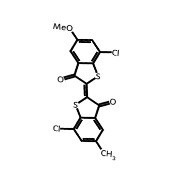 COc1cc(Cl)c2c(c1)C(=O)/C(=C1\Sc3c(Cl)cc(C)cc3C1=O)S2